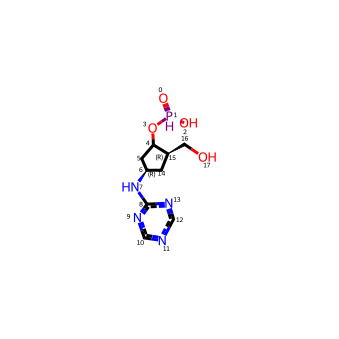 O=[PH](O)OC1C[C@H](Nc2ncncn2)C[C@@H]1CO